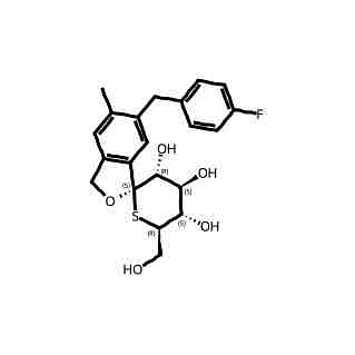 Cc1cc2c(cc1Cc1ccc(F)cc1)[C@]1(OC2)S[C@H](CO)[C@@H](O)[C@H](O)[C@H]1O